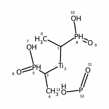 C[CH]([Ti][CH](C)[PH](=O)O)[PH](=O)O.O=PO